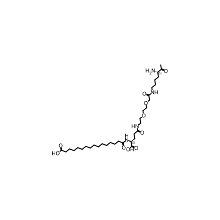 CC(=O)[C@@H](N)CCCCNC(=O)COCCOCCNC(=O)CC[C@H](NC(=O)CCCCCCCCCCCCCCC(=O)O)C(=O)O